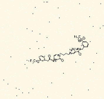 CS(=O)(=O)c1cccc(CNC(=O)c2cn(CCCCn3ccc(NC(=O)Cc4cccc(OC(F)(F)F)c4)cc3=O)nn2)c1